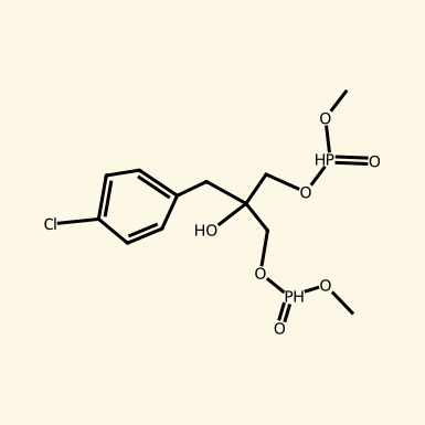 CO[PH](=O)OCC(O)(CO[PH](=O)OC)Cc1ccc(Cl)cc1